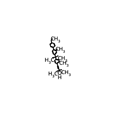 CCc1ccc(-c2ccc(C(CC)(CC)c3ccc(C#CC(O)(CC)CC)c(C)c3)cc2C)cc1